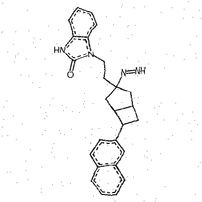 N=NC1(CCn2c(=O)[nH]c3ccccc32)CC2CC(c3ccc4ccccc4c3)C2C1